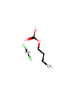 CCCCOC(=O)[O-].[Cl][Pd+][Cl]